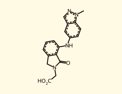 Cn1ncc2cc(Nc3cccc4c3C(=O)N(CC(=O)O)C4)ccc21